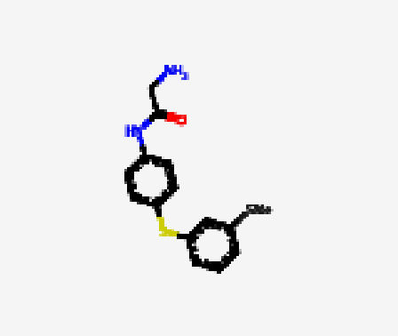 CSc1cccc(Sc2ccc(NC(=O)CN)cc2)c1